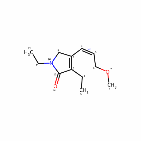 CCC1=C(/C=C\COC)CN(CC)C1=O